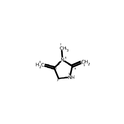 C=C1CNC(=C)N1C